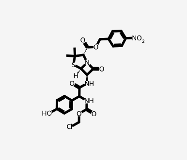 CC1(C)S[C@@H]2[C@H](NC(=O)C(NC(=O)OCCl)c3ccc(O)cc3)C(=O)N2[C@H]1C(=O)OCc1ccc([N+](=O)[O-])cc1